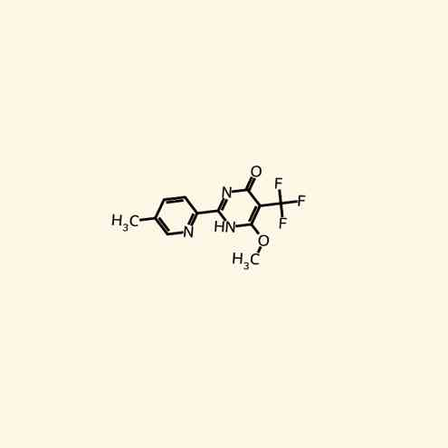 COc1[nH]c(-c2ccc(C)cn2)nc(=O)c1C(F)(F)F